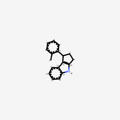 Cc1ccccc1C1CCC2=C1c1ccccc1[N]2